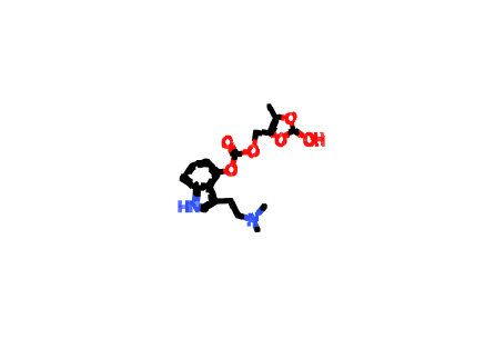 CC1=C(COC(=O)Oc2cccc3[nH]cc(CCN(C)C)c23)OC(O)O1